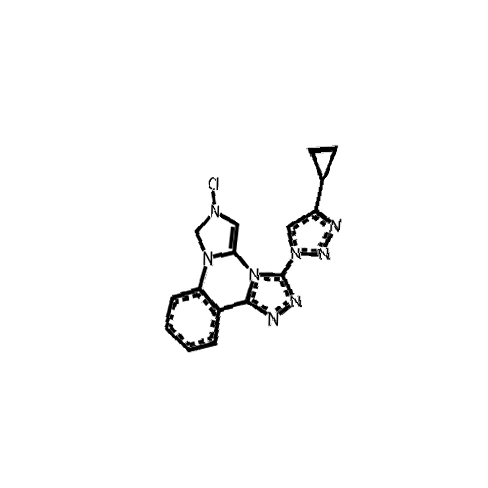 ClN1C=C2N(C1)c1ccccc1-c1nnc(-n3cc(C4CC4)nn3)n12